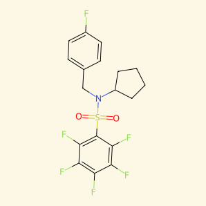 O=S(=O)(c1c(F)c(F)c(F)c(F)c1F)N(Cc1ccc(F)cc1)C1CCCC1